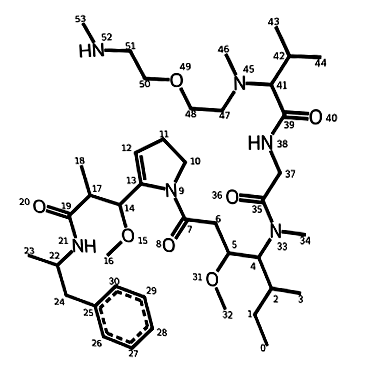 CCC(C)C(C(CC(=O)N1CCC=C1C(OC)C(C)C(=O)NC(C)Cc1ccccc1)OC)N(C)C(=O)CNC(=O)C(C(C)C)N(C)CCOCCNC